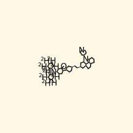 [2H]c1c([2H])c([2H])c(N(c2ccc3c(c2)oc2cc(/C=C/c4cc5ccc6cccc7c6c5c(c4)n7-c4ccncc4)ccc23)c2c([2H])c([2H])c([2H])c([2H])c2[2H])c([2H])c1[2H]